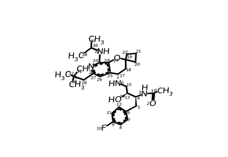 CC(=O)N[C@@H](Cc1ccc(F)cc1)[C@@H](O)CN[C@H]1CC2(CCC2)Oc2c1cc(CC(C)(C)C)nc2NC(C)C